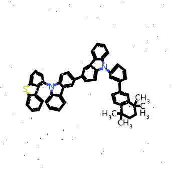 CC1(C)CCC(C)(C)c2cc(-c3cccc(-n4c5ccccc5c5cc(-c6ccc7c(c6)c6ccccc6n7-c6cccc7sc8ccccc8c67)ccc54)c3)ccc21